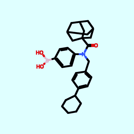 O=C(N(Cc1ccc(C2CCCCC2)cc1)c1ccc(B(O)O)cc1)C12CC3CC(CC(C3)C1)C2